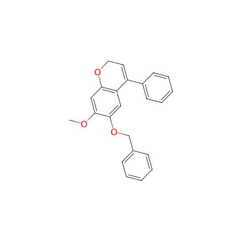 COc1cc2c(cc1OCc1ccccc1)C(c1ccccc1)=CCO2